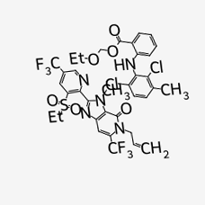 C=CCn1c(C(F)(F)F)cc2nc(-c3ncc(C(F)(F)F)cc3S(=O)(=O)CC)n(C)c2c1=O.CCOCOC(=O)c1ccccc1Nc1c(Cl)ccc(C)c1Cl